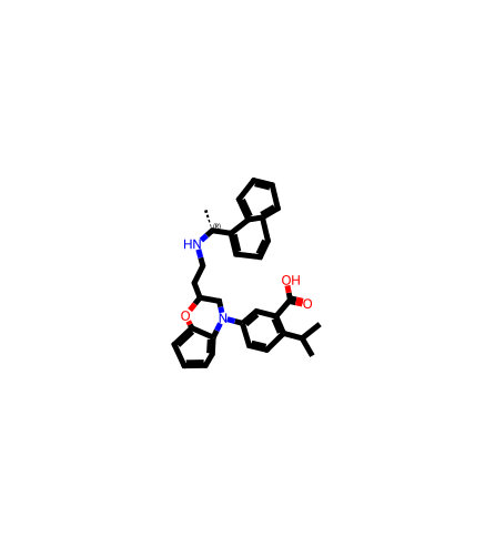 CC(C)c1ccc(N2CC(CCN[C@H](C)c3cccc4ccccc34)Oc3ccccc32)cc1C(=O)O